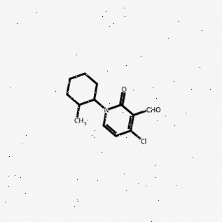 CC1CCCCC1n1ccc(Cl)c(C=O)c1=O